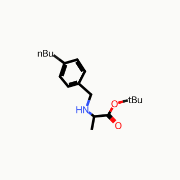 CCCCc1ccc(CNC(C)C(=O)OC(C)(C)C)cc1